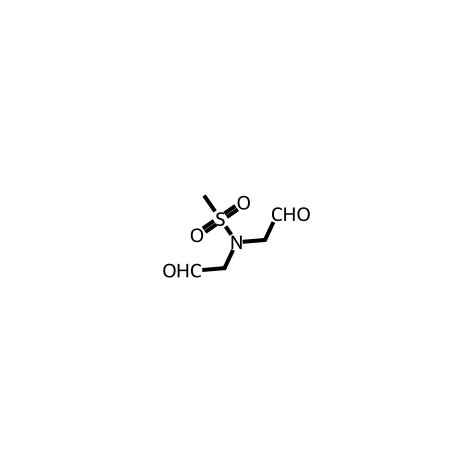 CS(=O)(=O)N(CC=O)CC=O